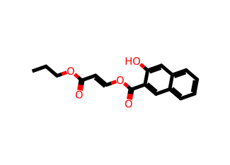 CCCOC(=O)C=COC(=O)c1cc2ccccc2cc1O